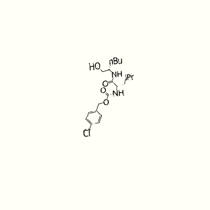 CCCC[C@@H](CO)NC(=O)[C@H](CC(C)C)NC(=O)OCc1ccc(Cl)cc1